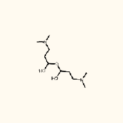 CN(C)CCC(O)OC(O)CCN(C)C